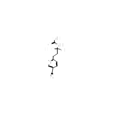 CC(C)(CCc1ccc(C#N)cn1)NC(=O)O